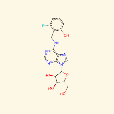 OC[C@H]1O[C@@H](n2cnc3c(NCc4c(O)cccc4F)ncnc32)[C@H](O)[C@@H]1O